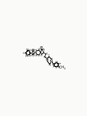 Cc1ccc(N2CCN(CC[C@H]3CC4(CCN(S(=O)(=O)c5cccnc5)CC4)C(=O)O3)CC2)cc1